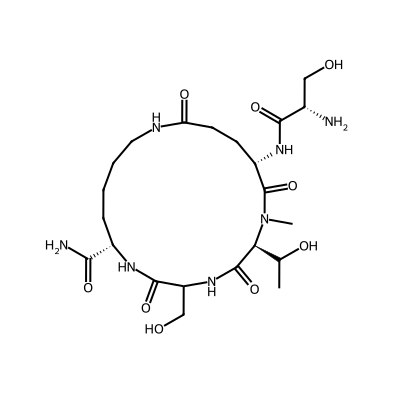 CC(O)[C@H]1C(=O)NC(CO)C(=O)N[C@H](C(N)=O)CCCCNC(=O)CC[C@H](NC(=O)[C@@H](N)CO)C(=O)N1C